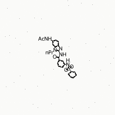 CCCn1c(NC(=O)c2cccc(NS(=O)(=O)c3ccccc3)c2)nc2ccc(NC(C)=O)cc21